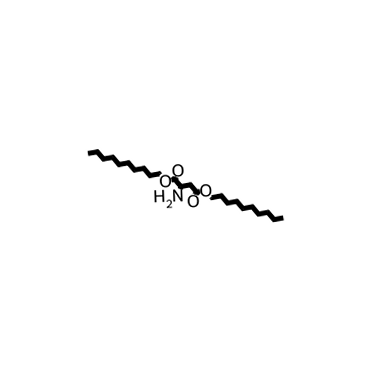 CCCCCCCCCCOC(=O)CC(N)C(=O)OCCCCCCCCCC